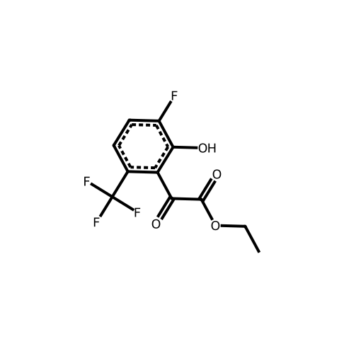 CCOC(=O)C(=O)c1c(C(F)(F)F)ccc(F)c1O